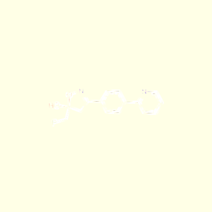 OC1(CF)CC(c2ccc(-c3ccccn3)cc2)=NO1